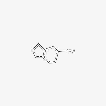 O=C(O)c1ccc2co[c]c2c1